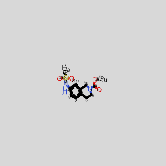 CC(C)(C)OC(=O)N1CCc2ccc(NS(C)(=O)=O)cc2C1